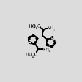 NC(C(=O)O)c1cccs1.NC(Cc1cccs1)C(=O)O